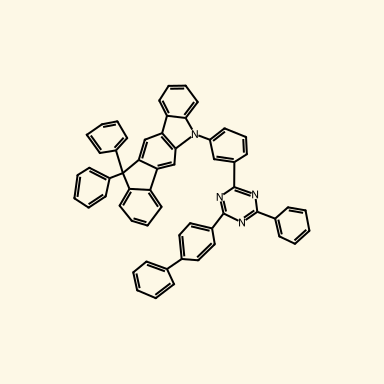 c1ccc(-c2ccc(-c3nc(-c4ccccc4)nc(-c4cccc(-n5c6ccccc6c6cc7c(cc65)-c5ccccc5C7(c5ccccc5)c5ccccc5)c4)n3)cc2)cc1